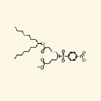 CCCCCCCC(CCCCCCC)OC(=O)CCCN(CCCC(=O)O)S(=O)(=O)c1ccc([N+](=O)[O-])cc1